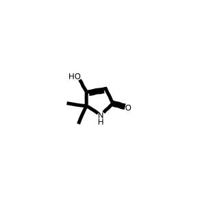 CC1(C)NC(=O)C=C1O